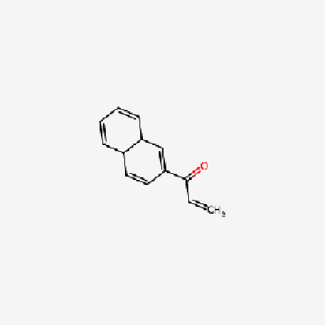 C=CC(=O)C1=CC2C=CC=CC2C=C1